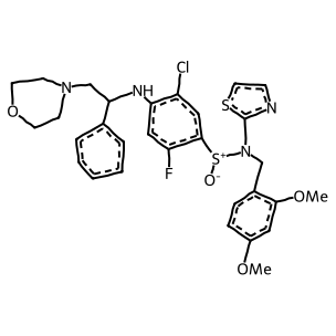 COc1ccc(CN(c2nccs2)[S+]([O-])c2cc(Cl)c(NC(CN3CCOCC3)c3ccccc3)cc2F)c(OC)c1